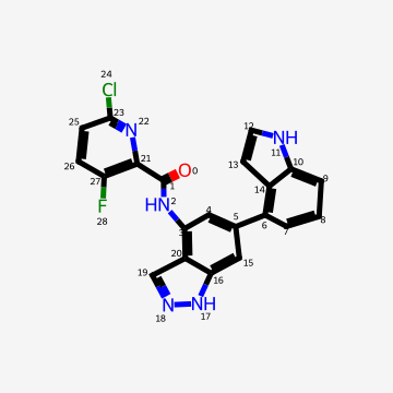 O=C(Nc1cc(-c2cccc3[nH]ccc23)cc2[nH]ncc12)c1nc(Cl)ccc1F